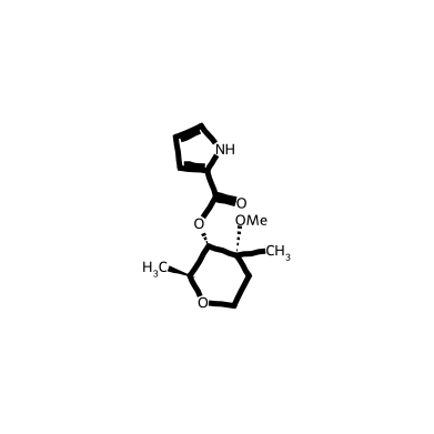 CO[C@]1(C)CCO[C@@H](C)[C@@H]1OC(=O)c1ccc[nH]1